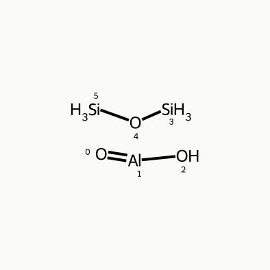 [O]=[Al][OH].[SiH3]O[SiH3]